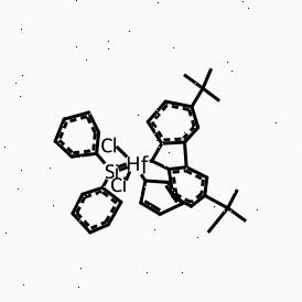 CC(C)(C)c1ccc2c(c1)-c1cc(C(C)(C)C)ccc1[CH]2[Hf]([Cl])([Cl])([CH]1C=CC=C1)=[Si](c1ccccc1)c1ccccc1